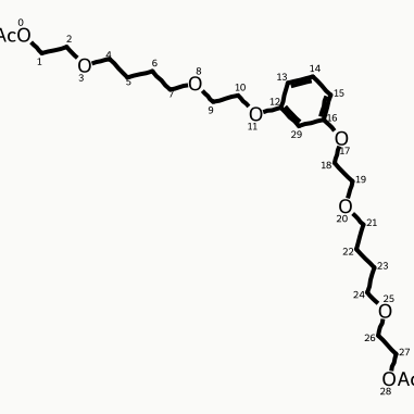 CC(=O)OCCOCCCCOCCOc1cccc(OCCOCCCCOCCOC(C)=O)c1